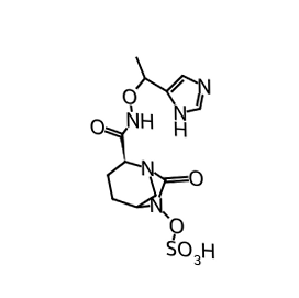 CC(ONC(=O)[C@@H]1CCC2CN1C(=O)N2OS(=O)(=O)O)c1cnc[nH]1